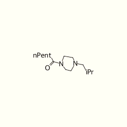 CCCCCC(=O)N1CCN(CC(C)C)CC1